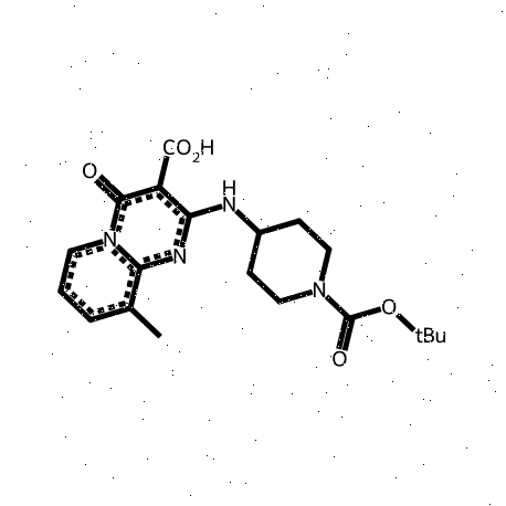 Cc1cccn2c(=O)c(C(=O)O)c(NC3CCN(C(=O)OC(C)(C)C)CC3)nc12